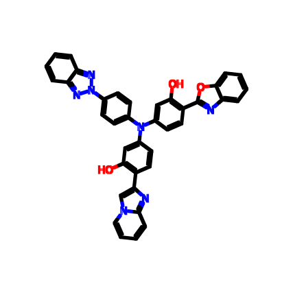 Oc1cc(N(c2ccc(-n3nc4ccccc4n3)cc2)c2ccc(-c3nc4ccccc4o3)c(O)c2)ccc1-c1cn2ccccc2n1